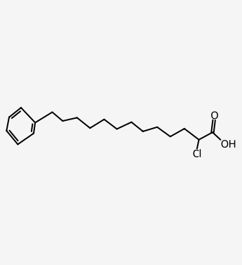 O=C(O)C(Cl)CCCCCCCCCCCc1ccccc1